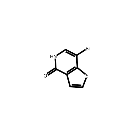 O=c1[nH]cc(Br)c2sccc12